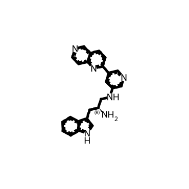 N[C@@H](CNc1cncc(-c2ccc3cnccc3n2)c1)Cc1c[nH]c2ccccc12